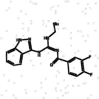 CC(C)(C)CN/C(=N/C(=O)c1ccc(F)c(F)c1)Nc1n[nH]c2ccccc12